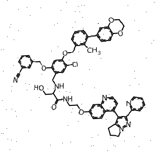 Cc1c(COc2cc(OCc3cccc(C#N)c3)c(CNC(CO)C(=O)NCCOc3ccc4c(-c5c(-c6ccccn6)nn6c5CCC6)ccnc4c3)cc2Cl)cccc1-c1ccc2c(c1)OCCO2